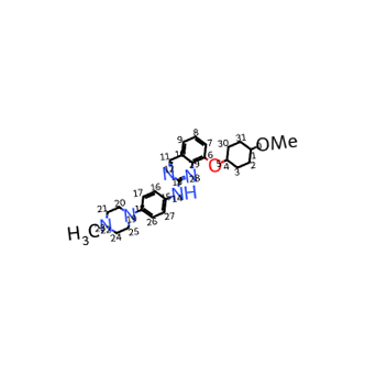 COC1CCC(Oc2cccc3cnc(Nc4ccc(N5CCN(C)CC5)cc4)nc23)CC1